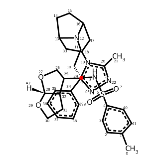 Cc1ccc(S(=O)(=O)N[C@@H](CCN2C3CCC2CC(n2c(C)nnc2C2CO[C@H]4OCCC24)C3)c2ccccc2)cc1